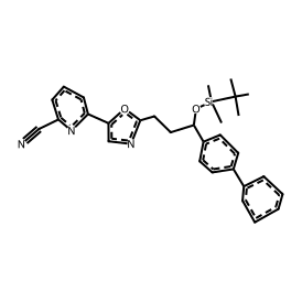 CC(C)(C)[Si](C)(C)OC(CCc1ncc(-c2cccc(C#N)n2)o1)c1ccc(-c2ccccc2)cc1